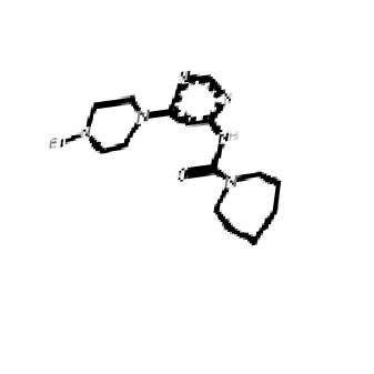 CCN1CCN(c2cc(NC(=O)N3CCCCCC3)ncn2)CC1